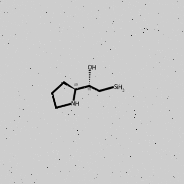 O[C@H](C[SiH3])[C@@H]1CCCN1